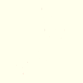 CCc1ccc(OC(C)(C)C(=O)OCCOc2ccc(/C=C/C(=O)O)cc2OC)cc1